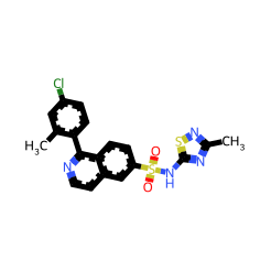 Cc1nsc(NS(=O)(=O)c2ccc3c(-c4ccc(Cl)cc4C)nccc3c2)n1